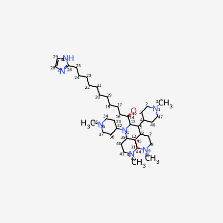 CN1CCC(C(C2CCN(C)CC2)C(C(=O)CCCCCCCCCCc2ncc[nH]2)N(C2CCN(C)CC2)C2CCN(C)CC2)CC1